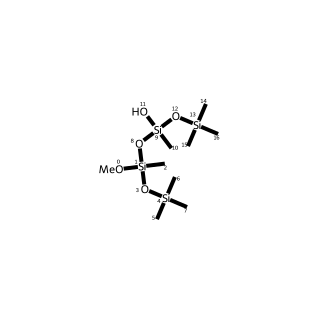 CO[Si](C)(O[Si](C)(C)C)O[Si](C)(O)O[Si](C)(C)C